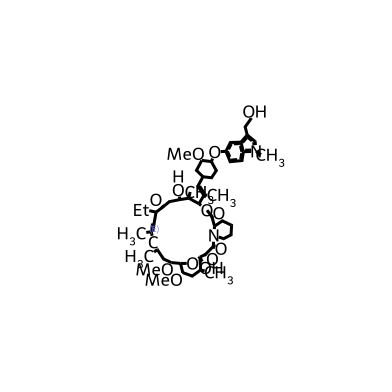 CCC1/C=C(\C)CC(C)CC(OC)C2OC(O)(C(=O)C(=O)N3CCCCC3C(=O)OC(C(C)=CC3CCC(Oc4ccc5c(c4)c(CCO)cn5C)C(OC)C3)C(C)C(O)CC1=O)C(C)CC2OC